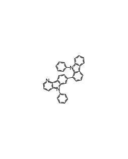 c1ccc(-n2c3cc(-c4cccc5c6ccccc6n(-c6ccccc6)c45)ccc3c3ncccc32)cc1